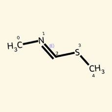 C/N=C/SC